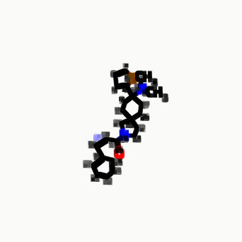 CN(C)C1(c2cccs2)CCC2(CCN(C(=O)/C=C\c3ccccc3)C2)CC1